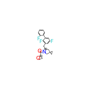 O=C([C@H]1CCO1)N1CC2(CC2)C[C@@H]1Cc1cc(F)cc(-c2ccccc2F)c1F